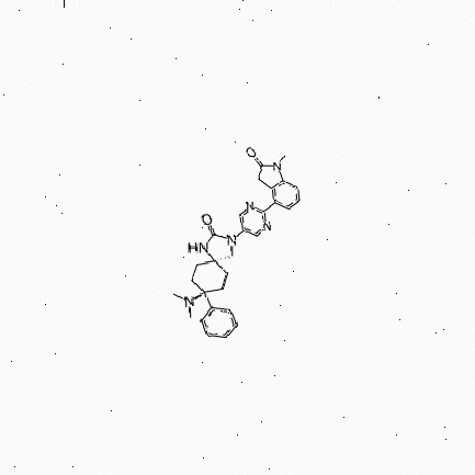 CN1C(=O)Cc2c(-c3ncc(N4C[C@]5(CC[C@](c6ccccc6)(N(C)C)CC5)NC4=O)cn3)cccc21